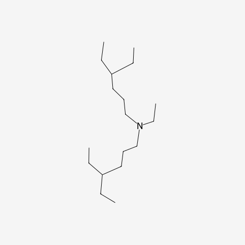 CCC(CC)CCCN(CC)CCCC(CC)CC